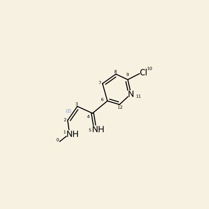 CN/C=C\C(=N)c1ccc(Cl)nc1